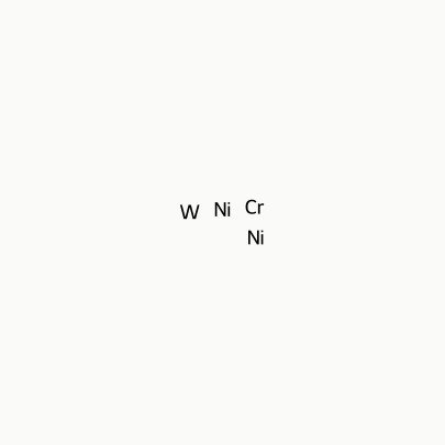 [Cr].[Ni].[Ni].[W]